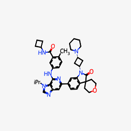 Cc1ccc(Nc2nc(-c3ccc4c(c3)N([C@H]3C[C@@H](N5CCCCC5)C3)C(=O)C43CCOCC3)cc3ncn(C(C)C)c23)cc1C(=O)NC1CCC1